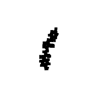 CCn1c(CNc2ccc(F)cc2)nnc1SCC(=O)Nc1ccc(Br)cc1